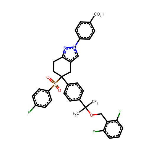 O=C(O)c1ccc(-n2cc3c(n2)CCC(c2ccc(C(OCc4c(F)cccc4F)(C(F)(F)F)C(F)(F)F)cc2)(S(=O)(=O)c2ccc(F)cc2)C3)cc1